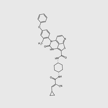 Cc1cc(Oc2ccccc2)ccc1N1C(=O)Nc2c(C(=O)N[C@H]3CC[C@@H](NC(=O)/C(C#N)=C/C4CC4)CC3)sc3nccc1c23